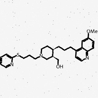 COc1ccc2nccc(CCC[C@@H]3CCN(CCCSc4ccccn4)C[C@@H]3CO)c2c1